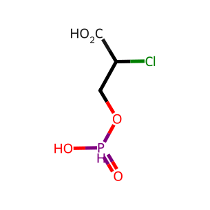 O=C(O)C(Cl)CO[PH](=O)O